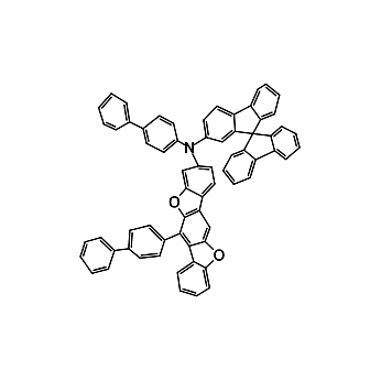 c1ccc(-c2ccc(-c3c4oc5cc(N(c6ccc(-c7ccccc7)cc6)c6ccc7c(c6)C6(c8ccccc8-c8ccccc86)c6ccccc6-7)ccc5c4cc4oc5ccccc5c34)cc2)cc1